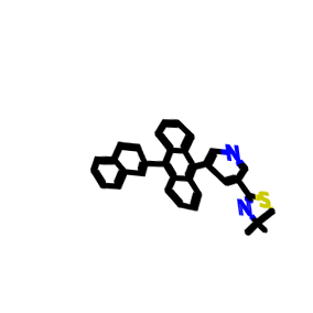 CC1(C)CSC(c2cncc(-c3c4ccccc4c(-c4ccc5ccccc5c4)c4ccccc34)c2)=N1